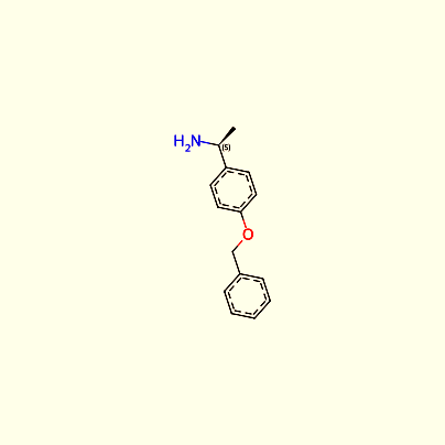 C[C@H](N)c1ccc(OCc2ccccc2)cc1